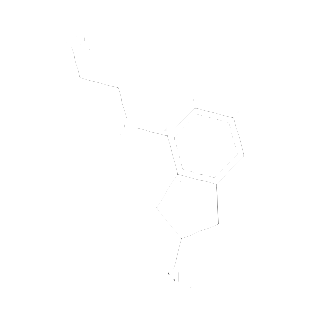 CCOC(=O)CCOc1cccc2c1CC(N)C2